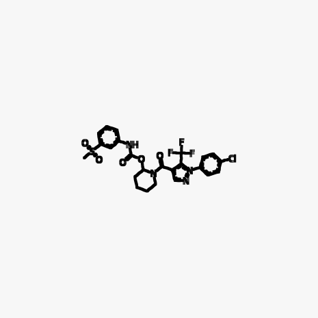 CS(=O)(=O)c1cccc(NC(=O)OC2CCCCN2C(=O)c2cnn(-c3ccc(Cl)cc3)c2C(F)(F)F)c1